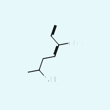 C=C/C(=C\CC(C)N)CCCC